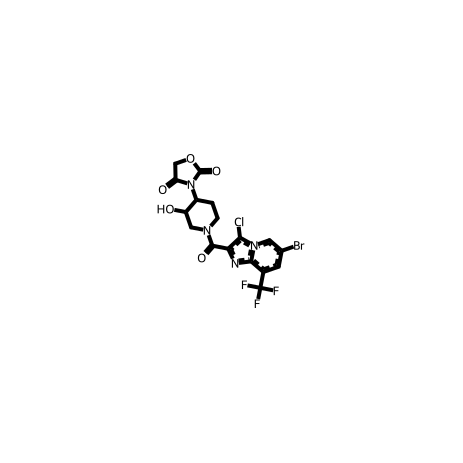 O=C(c1nc2c(C(F)(F)F)cc(Br)cn2c1Cl)N1CCC(N2C(=O)COC2=O)C(O)C1